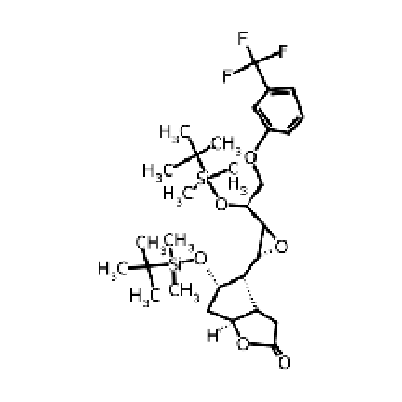 CC(C)(C)[Si](C)(C)O[C@@H](COc1cccc(C(F)(F)F)c1)C1O[C@@H]1[C@@H]1C2CC(=O)O[C@H]2C[C@@H]1O[Si](C)(C)C(C)(C)C